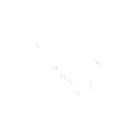 C/N=C\c1cnn2cc(-c3cnn(C)c3)cc(-c3ccc(NCCNCC#Cc4ccncc4)nc3)c12